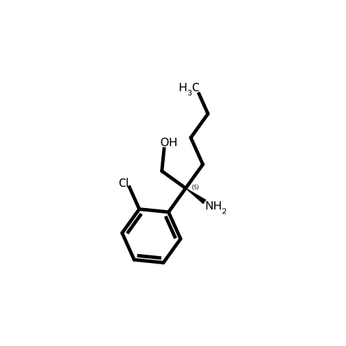 CCCC[C@@](N)(CO)c1ccccc1Cl